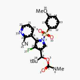 CNC(=O)OC(c1cn(S(=O)(=O)c2cccc(OC)c2)c(-c2cccnc2C#N)c1F)C(C)(C)C